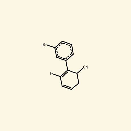 N#CC1CC=CC(F)=C1c1cccc(Br)c1